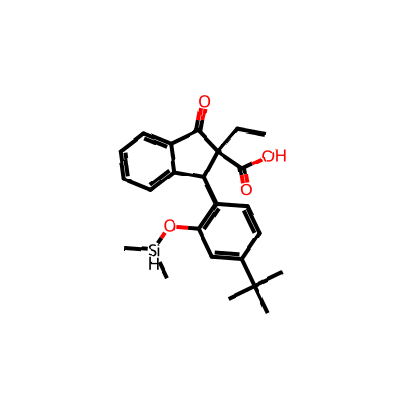 CCC1(C(=O)O)C(=O)c2ccccc2C1c1ccc(C(C)(C)C)cc1O[SiH](C)C